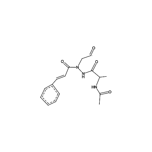 CC(=O)NC(C)C(=O)NN(C[C]=O)C(=O)/C=C/c1ccccc1